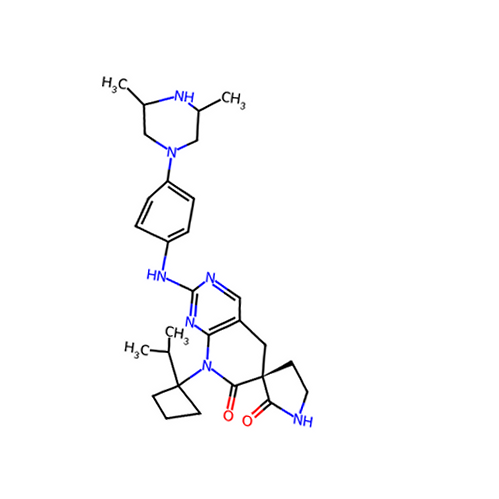 CC1CN(c2ccc(Nc3ncc4c(n3)N(C3(C(C)C)CCC3)C(=O)[C@]3(CCNC3=O)C4)cc2)CC(C)N1